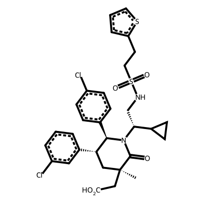 C[C@]1(CC(=O)O)C[C@H](c2cccc(Cl)c2)[C@@H](c2ccc(Cl)cc2)N([C@H](CNS(=O)(=O)CCc2cccs2)C2CC2)C1=O